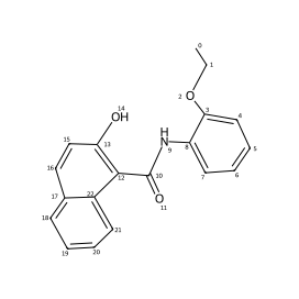 CCOc1ccccc1NC(=O)c1c(O)ccc2ccccc12